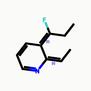 C/C=c1/nccc/c1=C(\F)CC